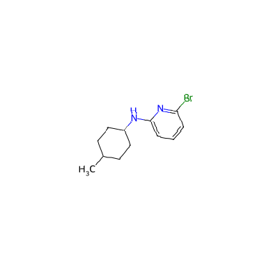 CC1CCC(Nc2cccc(Br)n2)CC1